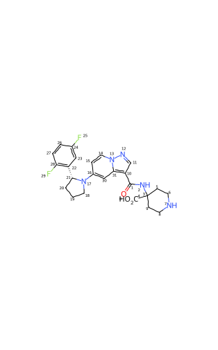 O=C(NC1(C(=O)O)CCNCC1)c1cnn2ccc(N3CCC[C@@H]3c3cc(F)ccc3F)cc12